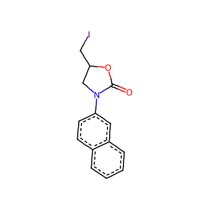 O=C1OC(CI)CN1c1ccc2ccccc2c1